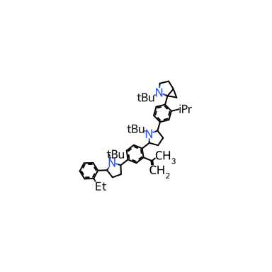 C=C(C)c1cc(C2CCC(c3ccccc3CC)N2C(C)(C)C)ccc1C1CCC(c2ccc(C34CC3CCN4C(C)(C)C)c(C(C)C)c2)N1C(C)(C)C